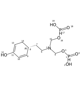 O=[PH](O)OCN(CC[C@@H]1C=CC(O)=CC1)CO[PH](=O)O